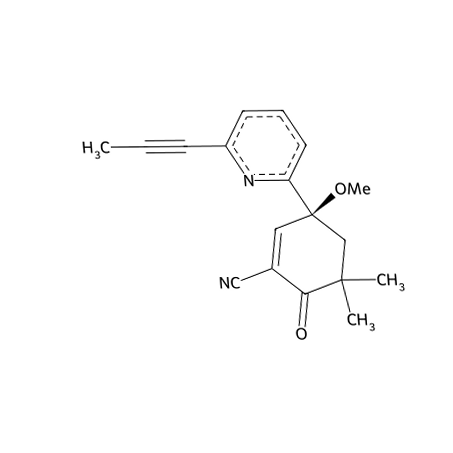 CC#Cc1cccc([C@@]2(OC)C=C(C#N)C(=O)C(C)(C)C2)n1